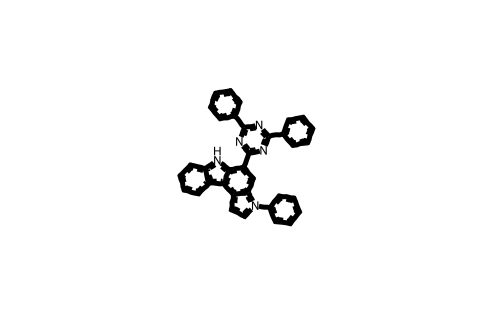 c1ccc(-c2nc(-c3ccccc3)nc(-c3cc4c(ccn4-c4ccccc4)c4c3[nH]c3ccccc34)n2)cc1